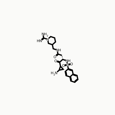 N=C(N)N1CCCC(CNC(=O)C[C@H](NS(=O)(=O)c2ccc3ccccc3c2)C(=O)C2CC2N)C1